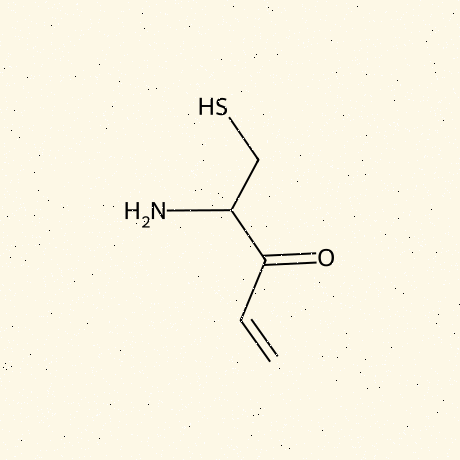 C=CC(=O)C(N)CS